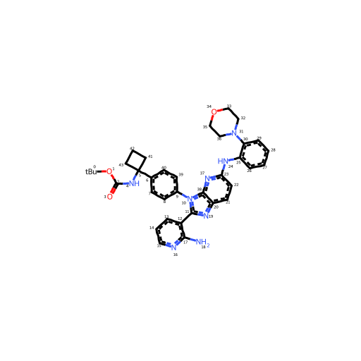 CC(C)(C)OC(=O)NC1(c2ccc(-n3c(-c4cccnc4N)nc4ccc(Nc5ccccc5N5CCOCC5)nc43)cc2)CCC1